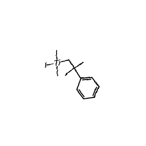 CC(C)([CH2][Ti]([I])([I])[I])c1ccccc1